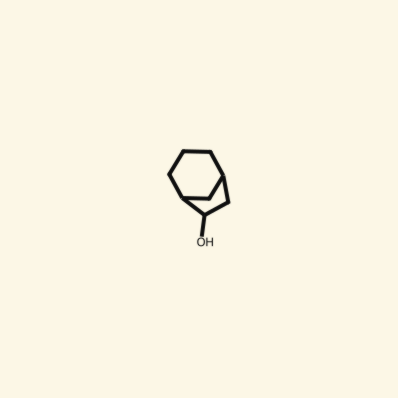 OC1CC2CCCC1C2